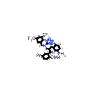 COc1ccc(C(C)C)cc1-c1nc2c(C)cccc2cc1CN(Cc1cc(C(F)(F)F)cc(C(F)(F)F)c1)c1nnn[nH]1